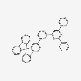 C1=CCCC(c2nc(-c3ccccc3)cc(-c3cccc(-c4ccc5c(c4)C4(c6ccccc6-c6ccccc64)c4ccccc4-5)c3)n2)=C1